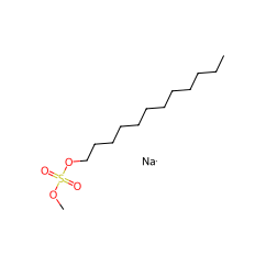 CCCCCCCCCCCCOS(=O)(=O)OC.[Na]